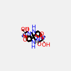 CN1C(=O)[C@@]23C[C@]4([C@]56C[C@@]78SS[C@@](CO)(C(=O)N7[C@H]5Nc5ccccc56)N(C)C8=O)c5ccccc5NC4N2C(=O)[C@]1(CO)SS3